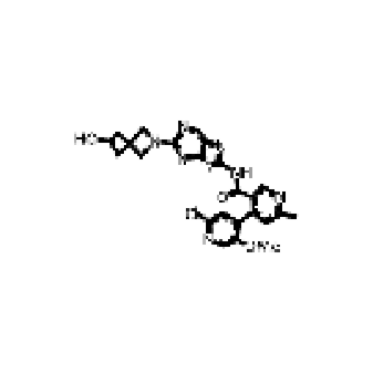 COc1cnc(Cl)cc1-c1cc(C)ncc1C(=O)Nc1nc2cnc(N3CC4(CC(O)C4)C3)nc2s1